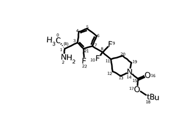 C[C@@H](N)c1cccc(C(F)(F)C2CCN(C(=O)OC(C)(C)C)CC2)c1F